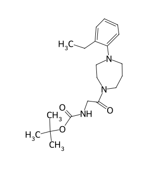 CCc1ccccc1N1CCCN(C(=O)CNC(=O)OC(C)(C)C)CC1